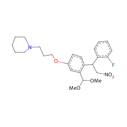 COC(OC)c1cc(OCCCN2CCCCC2)ccc1C(C[N+](=O)[O-])c1ccccc1F